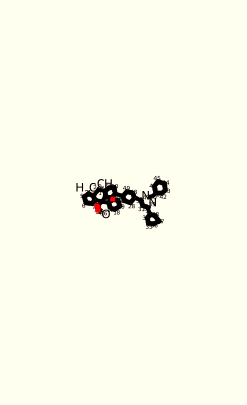 CC1(C)c2ccccc2C2(c3ccccc3Oc3ccccc32)c2cc(-c3ccc(-c4cc(-c5ccccc5)nc(-c5ccccc5)n4)cc3)ccc21